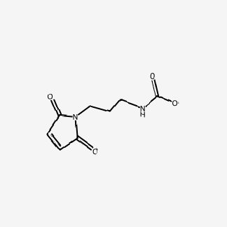 [O]C(=O)NCCCN1C(=O)C=CC1=O